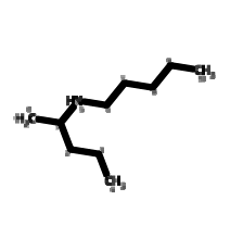 [CH2]C(CCC)NCCCCC